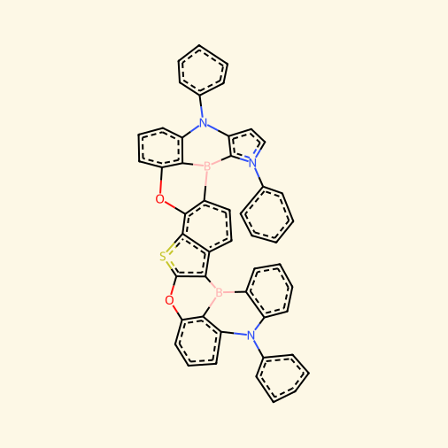 c1ccc(N2c3ccccc3B3c4c(cccc42)Oc2sc4c5c(ccc4c23)B2c3c(cccc3N(c3ccccc3)c3ccn(-c4ccccc4)c32)O5)cc1